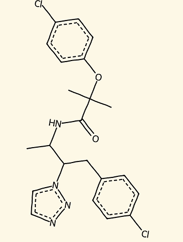 CC(NC(=O)C(C)(C)Oc1ccc(Cl)cc1)C(Cc1ccc(Cl)cc1)n1ccnn1